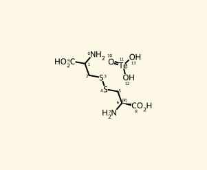 NC(CSSC[C@H](N)C(=O)O)C(=O)O.O=[Te](O)O